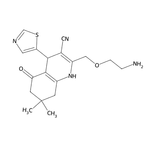 CC1(C)CC(=O)C2=C(C1)NC(COCCN)=C(C#N)C2c1cncs1